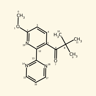 COc1ccc(C(=O)C(C)(C)C)c(-c2ncccn2)n1